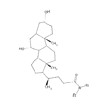 CCN(CC)C(=O)CC[C@@H](C)C1CCC2C3C(CC[C@@]21C)[C@@]1(C)CC[C@@H](O)CC1C[C@H]3O